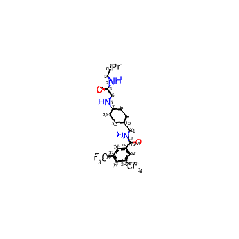 CC(C)CNC(=O)CN[C@H]1CC[C@@H](CNC(=O)c2cc(C(F)(F)F)cc(C(F)(F)F)c2)CC1